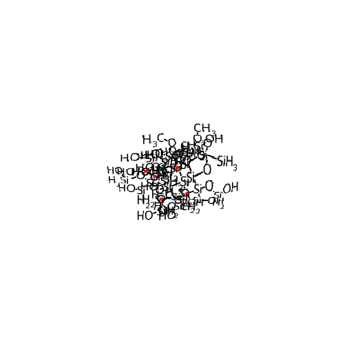 COO[Si]([SiH3])(O[Si]([Si](O[SiH2]O)([SiH2]O)[SiH2]O)([Si](O[SiH2]O)([SiH2]O)[SiH2]O)[Si](O[Si](C)(C)C)(O[Si](O[SiH2]O)([SiH2]O)[Si](O)(OC)OC)[Si](O[Si](O[SiH2]O)([SiH2]O)[SiH2]O)([Si](O[SiH2]O)([SiH2]O)[SiH2]O)[Si](O[SiH2]O)([SiH2]O)[SiH2]O)[SiH2]O